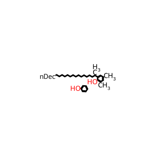 CCCCCCCCCCCCCCCCCCCCCCCCC(C)c1cc(C)cc(C)c1O.Oc1ccccc1